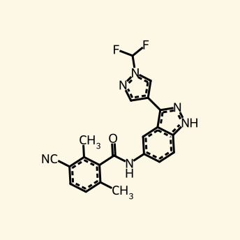 Cc1ccc(C#N)c(C)c1C(=O)Nc1ccc2[nH]nc(-c3cnn(C(F)F)c3)c2c1